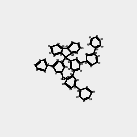 Oc1cc(-c2ccccc2)cc(C2(c3cc(-c4cccc(-c5ccccc5)c4)cc(-c4cccc(-c5ccccc5)c4)c3)c3ccccc3-c3ccccc32)c1